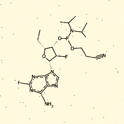 CC[C@H]1O[C@@H](n2cnc3c(N)nc(F)nc32)C(F)[C@H]1OP(OCCC#N)N(C(C)C)C(C)C